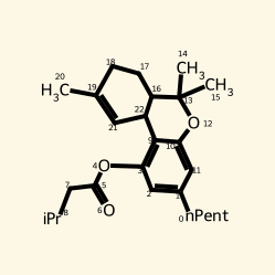 CCCCCc1cc(OC(=O)CC(C)C)c2c(c1)OC(C)(C)C1CCC(C)=CC21